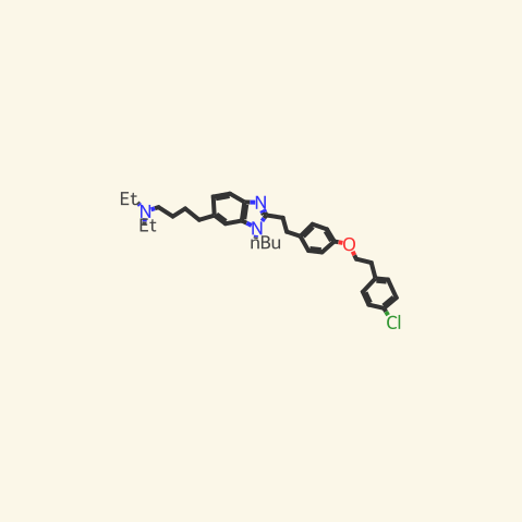 CCCCn1c(CCc2ccc(OCCc3ccc(Cl)cc3)cc2)nc2ccc(CCCCN(CC)CC)cc21